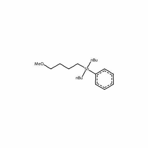 CCC[CH2][Sn]([CH2]CCC)([CH2]CCCOC)[c]1ccccc1